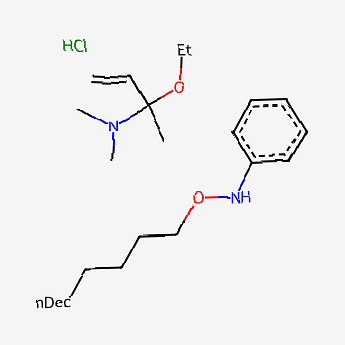 C=CC(C)(OCC)N(C)C.CCCCCCCCCCCCCCONc1ccccc1.Cl